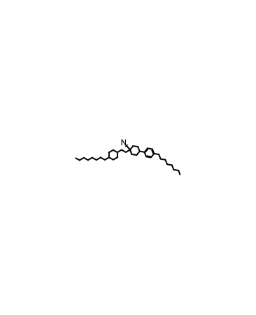 CCCCCCCCc1ccc(C2CCC(C#N)(CCC3CCC(CCCCCCCC)CC3)CC2)cc1